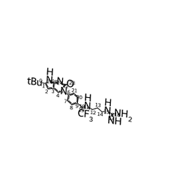 CC(C)(C)c1cc2cn(-c3ccc([C@@H](NCCCNC(=N)N)C(F)(F)F)cc3)c(=O)nc2[nH]1